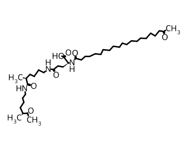 CC(=O)CCCCCCCCCCCCCCCCCCC(=O)N[C@@H](CCC(=O)NCCCC[C@H](C)C(=O)NCCCC[C@H](C)C(C)=O)C(=O)O